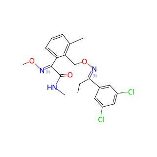 CC/C(=N\OCc1c(C)cccc1/C(=N\OC)C(=O)NC)c1cc(Cl)cc(Cl)c1